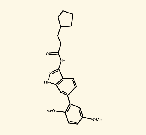 COc1ccc(OC)c(-c2ccc3c(NC(=O)CCC4CCCC4)n[nH]c3c2)c1